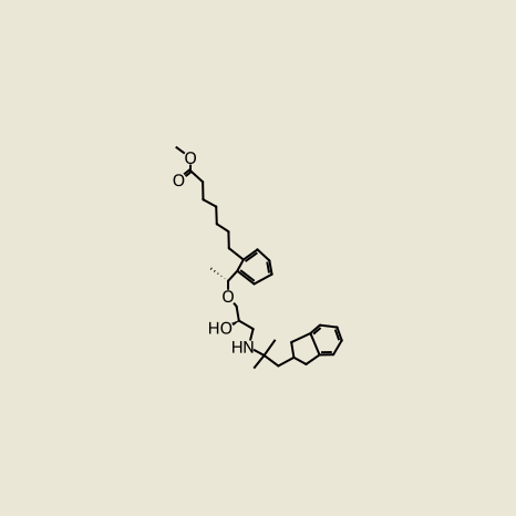 COC(=O)CCCCCCc1ccccc1[C@@H](C)OC[C@H](O)CNC(C)(C)CC1Cc2ccccc2C1